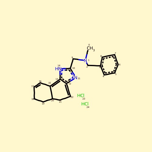 CN(Cc1ccccc1)Cc1nc2c([nH]1)=C1C=CCCC1CC=2.Cl.Cl